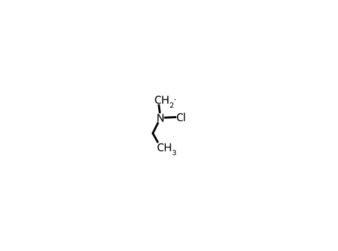 [CH2]N(Cl)CC